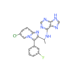 CC(Nc1ncnc2[nH]cnc12)c1nc2ccc(Cl)cn2c1-c1cccc(F)c1